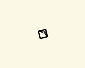 C1[C]2CC1N2